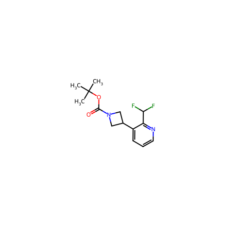 CC(C)(C)OC(=O)N1CC(c2cccnc2C(F)F)C1